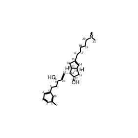 Cc1cccc(CC[C@H](O)/C=C/[C@@H]2[C@H]3CC(CCCCCN(C)C)=C[C@H]3C[C@H]2O)c1